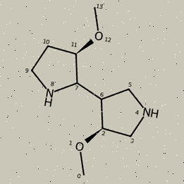 CO[C@@H]1CNCC1C1NCC[C@H]1OC